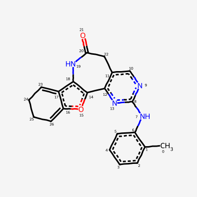 Cc1ccccc1Nc1ncc2c(n1)-c1oc3c(c1NC(=O)C2)=CCCC=3